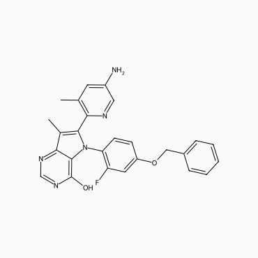 Cc1cc(N)cnc1-c1c(C)c2ncnc(O)c2n1-c1ccc(OCc2ccccc2)cc1F